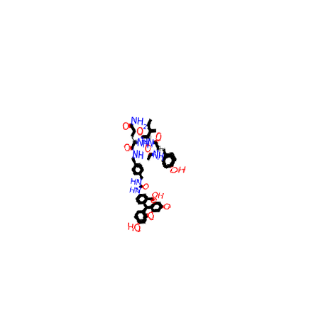 CCC(C)[C@H](NC(=O)[C@H](Cc1ccc(O)cc1)NC(C)=O)C(=O)N[C@@H](CCC(N)=O)C(=O)NCc1ccc(CNC(=O)Nc2ccc(-c3c4ccc(=O)cc-4oc4cc(O)ccc34)c(C(=O)O)c2)cc1